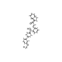 COc1cccc(N2CCN(C(O)c3ccccc3SCC(=O)N3CCc4ccccc43)CC2)c1